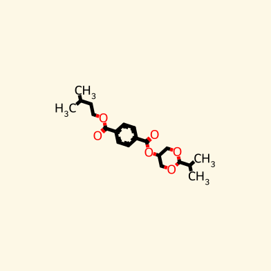 CC(C)CCOC(=O)c1ccc(C(=O)OC2COC(C(C)C)OC2)cc1